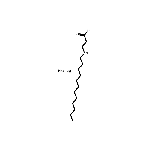 CCCCCCCCCCCCNCCC(=O)O.[NaH].[NaH]